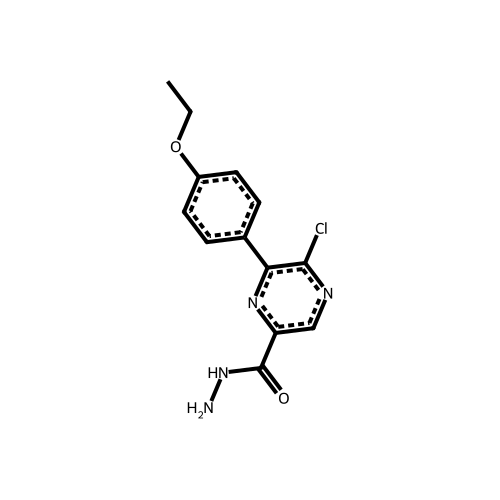 CCOc1ccc(-c2nc(C(=O)NN)cnc2Cl)cc1